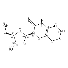 O=C1NC2=C(CCNO2)CN1[C@H]1C[C@H](O)[C@@H](CO)O1